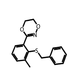 Cc1cccc(C2=NOCCO2)c1SCc1ccccc1